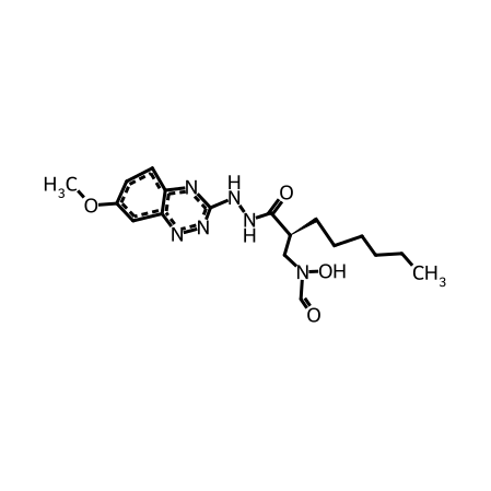 CCCCCC[C@@H](CN(O)C=O)C(=O)NNc1nnc2cc(OC)ccc2n1